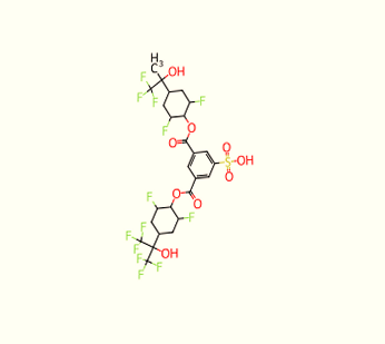 CC(O)(C1CC(F)C(OC(=O)c2cc(C(=O)OC3C(F)CC(C(O)(C(F)(F)F)C(F)(F)F)CC3F)cc(S(=O)(=O)O)c2)C(F)C1)C(F)(F)F